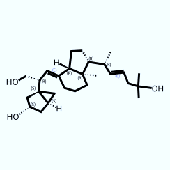 C[C@H](/C=C/CC(C)(C)O)[C@H]1CC[C@H]2/C(=C/[C@@H](CO)[C@@]34C[C@@H](O)C[C@@H]3C4)CCC[C@]12C